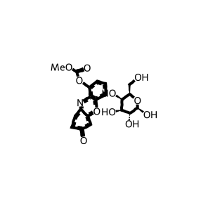 COC(=O)Oc1cccc2oc3cc(=O)ccc-3nc12.OC[C@H]1O[C@@H](O)[C@H](O)[C@@H](O)[C@H]1O